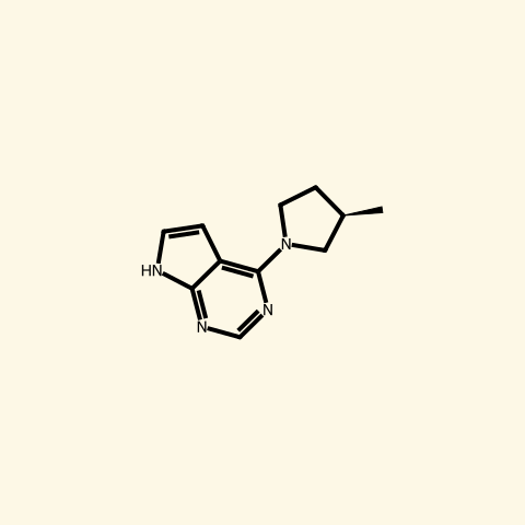 C[C@@H]1CCN(c2ncnc3[nH]ccc23)C1